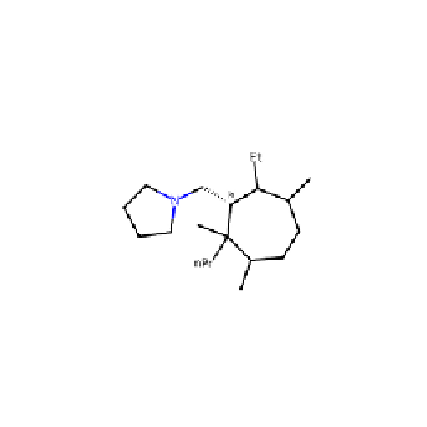 CCCC1(C)C(C)CCC(C)C(CC)[C@H]1CN1CCCC1